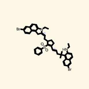 CCNc1ccc2cc(Br)ccc2c1C(C)(C)C/C=C/C1=C(S(=O)(=O)c2ccccc2)C(C/C=C2\Cc3c(ccc4cc(Br)ccc34)N2CC)CC1